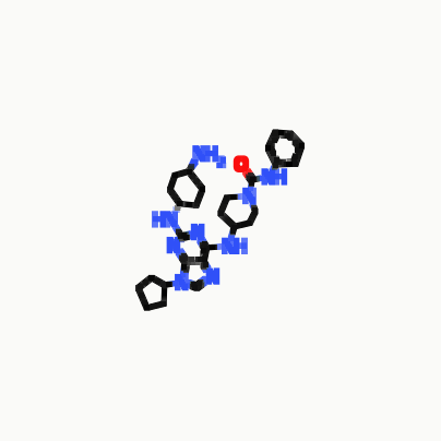 N[C@H]1CC[C@H](Nc2nc(NC3CCN(C(=O)Nc4ccccc4)CC3)c3ncn(C4CCCC4)c3n2)CC1